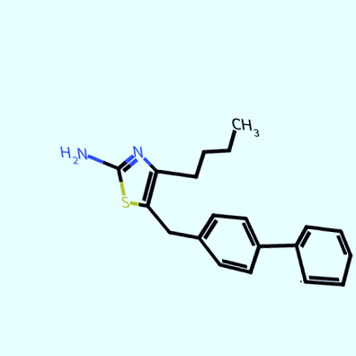 CCCCc1nc(N)sc1Cc1ccc(-c2[c]cccc2)cc1